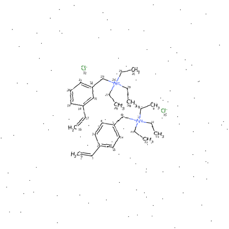 C=Cc1ccc(C[N+](CC)(CC)CC)cc1.C=Cc1cccc(C[N+](CC)(CC)CC)c1.[Cl-].[Cl-]